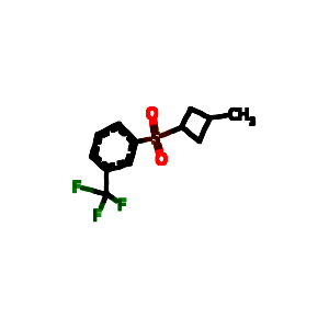 CC1CC(S(=O)(=O)c2cccc(C(F)(F)F)c2)C1